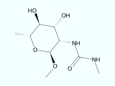 CNC(=O)N[C@@H]1[C@@H](OC)O[C@H](C)[C@@H](O)[C@@H]1O